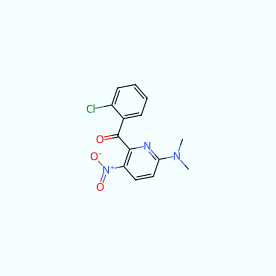 CN(C)c1ccc([N+](=O)[O-])c(C(=O)c2ccccc2Cl)n1